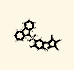 CC1=C(C)C(C)=C2C1=Nc1cc(C)c([Si](C)(C)C3c4ccccc4-c4ccccc43)cc12